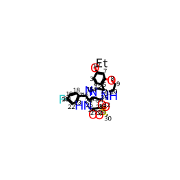 CCOc1ccc2c(c1)OCCC[C@]21Cn2nc(-c3ccc(F)cc3)c(NC(=O)CS(C)(=O)=O)c2C(=O)N1